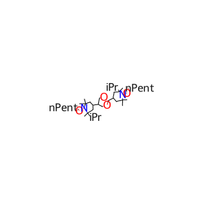 CCCCCON1C(C)(C)CC(C2COC(C3CC(C)(C)N(OCCCCC)C(C)(C(C)C)C3)OC2)CC1(C)C(C)C